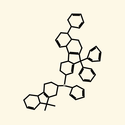 CC1(C)C2=C(CCC(N(C3C=CC=CC3)C3C=C4C(CC3)C3=C(CCC5C3C=CCC5C3C=CC=CC3)C4(c3ccccc3)c3ccccc3)C2)C2CCC=CC21